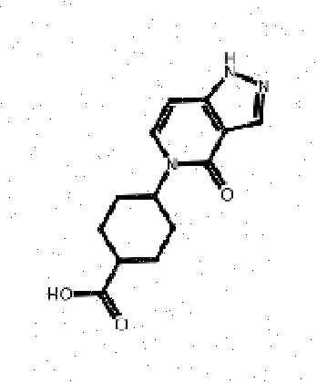 O=C(O)C1CCC(n2ccc3[nH]ncc3c2=O)CC1